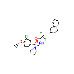 C[C@@H](NC(=O)C(F)(F)CCc1ccc2ccccc2c1)[C@](O)(c1ccc(OC2CC2)c(Cl)c1)N1CCCC1